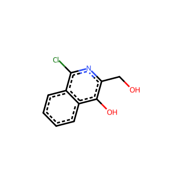 OCc1nc(Cl)c2ccccc2c1O